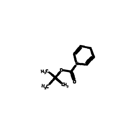 CC(C)(C)OC(=O)N1C=CCC=C1